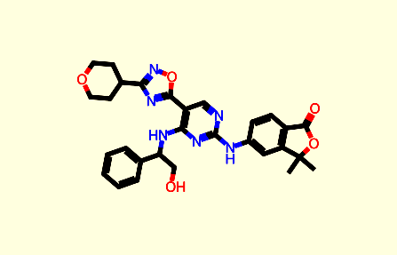 CC1(C)OC(=O)c2ccc(Nc3ncc(-c4nc(C5CCOCC5)no4)c(NC(CO)c4ccccc4)n3)cc21